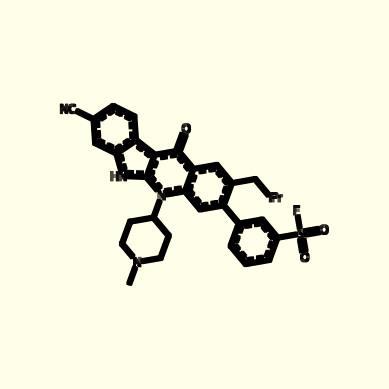 CC(C)Cc1cc2c(=O)c3c4ccc(C#N)cc4[nH]c3n(C3CCN(C)CC3)c2cc1-c1cccc(S(=O)(=O)F)c1